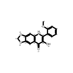 COc1ccccc1-c1[nH]c2cc3c(cc2c(=O)c1O)OCO3